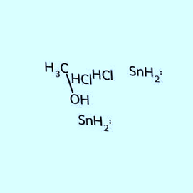 CO.Cl.Cl.[SnH2].[SnH2]